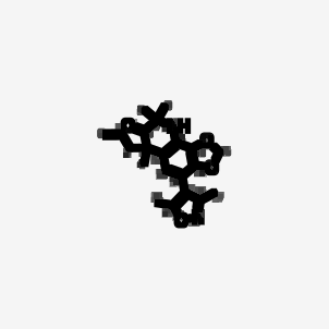 C=CCC1(C)C(=O)C(C)(C)Nc2c1cc(-c1c(C)noc1C)c1c2OCO1